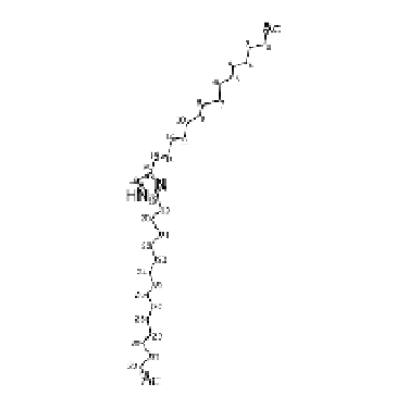 CC(=O)CCCCCCCCCCCCCCc1c[nH]c(CCCCCCCCCCCCCCC(C)=O)n1